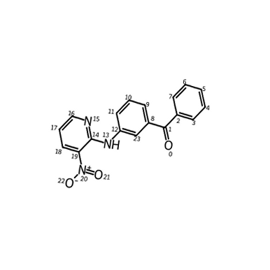 O=C(c1ccccc1)c1cccc(Nc2ncccc2[N+](=O)[O-])c1